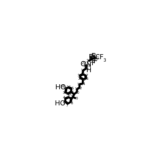 CC(c1ccc(O)cc1)C(CCCCCc1ccc(CCC(=O)NCC(F)(F)C(F)(F)C(F)(F)F)cc1)c1ccc(O)cc1